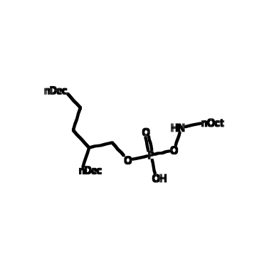 CCCCCCCCCCCCC(CCCCCCCCCC)COP(=O)(O)ONCCCCCCCC